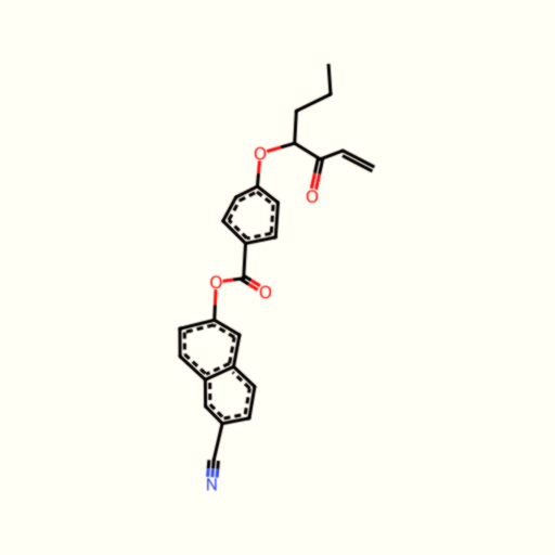 C=CC(=O)C(CCC)Oc1ccc(C(=O)Oc2ccc3cc(C#N)ccc3c2)cc1